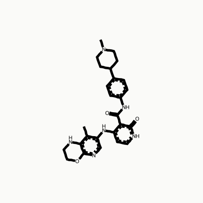 Cc1c(Nc2cc[nH]c(=O)c2C(=O)Nc2ccc(C3CCN(C)CC3)cc2)cnc2c1NCCO2